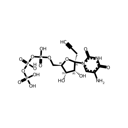 C#CC[C@@]1(n2cc(N)c(=O)[nH]c2=O)O[C@H](COP(=O)(O)OP(=O)(O)OP(=O)(O)O)[C@@H](O)[C@H]1O